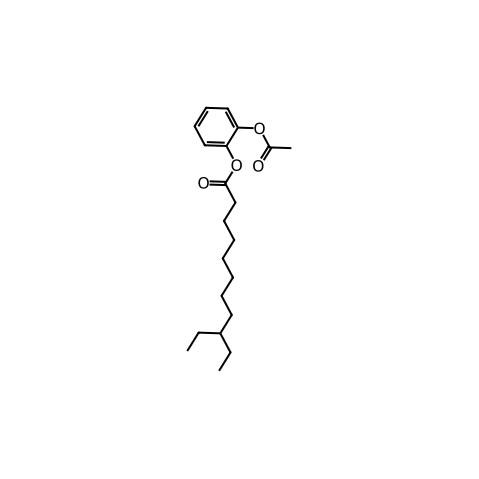 CCC(CC)CCCCCCCC(=O)Oc1ccccc1OC(C)=O